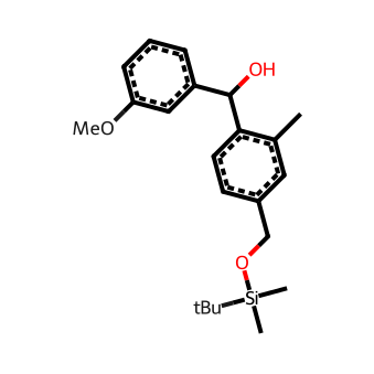 COc1cccc(C(O)c2ccc(CO[Si](C)(C)C(C)(C)C)cc2C)c1